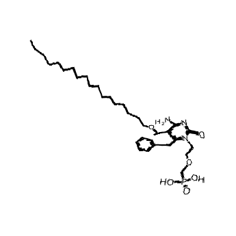 CCCCCCCCCCCCCCCCCCOC(C)c1c(N)nc(=O)n(CCOCP(=O)(O)O)c1Cc1ccccc1